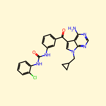 Nc1ncnc2c1c(C(=O)c1cccc(NC(=O)Nc3ccccc3Cl)c1)cn2CC1CC1